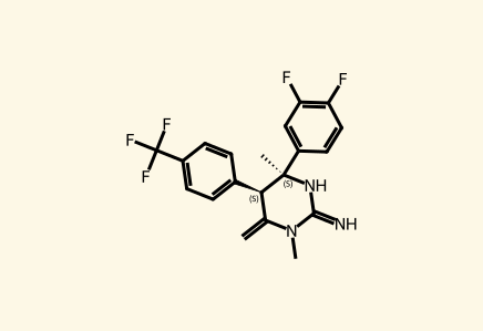 C=C1[C@@H](c2ccc(C(F)(F)F)cc2)[C@@](C)(c2ccc(F)c(F)c2)NC(=N)N1C